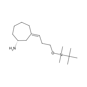 CC(C)(C)[Si](C)(C)OCC/C=C1/CCCC[C@@H](N)C1